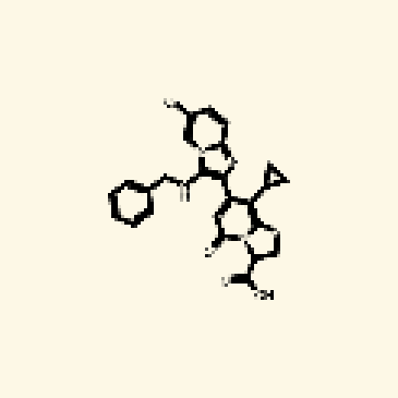 O=C(O)C1CSc2c(C3CC3)c(-c3nc4ccc(Cl)cn4c3NCc3ccccc3)cc(=O)n21